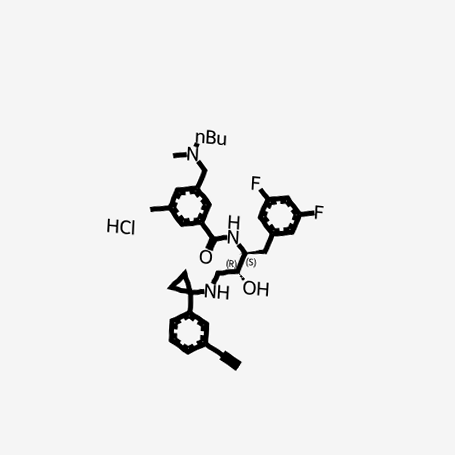 C#Cc1cccc(C2(NC[C@@H](O)[C@H](Cc3cc(F)cc(F)c3)NC(=O)c3cc(C)cc(CN(C)CCCC)c3)CC2)c1.Cl